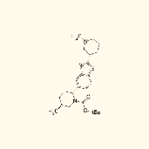 C[C@H]1CC[C@H](c2ccc3sc([C@H]4CCCN(C)C4)nc3c2)N(C(=O)OC(C)(C)C)C1